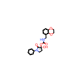 O=C(NCc1cccc2c1OCCO2)O[C@@]1(O)CCN(c2ccccc2)C1=O